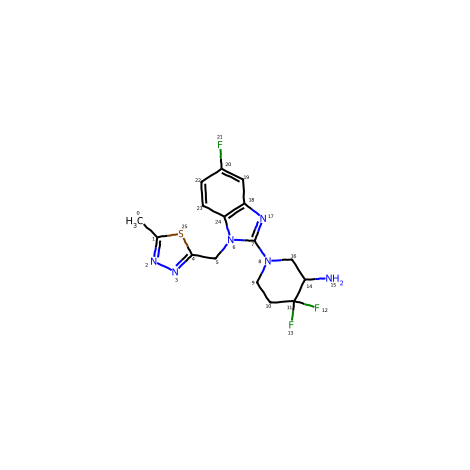 Cc1nnc(Cn2c(N3CCC(F)(F)C(N)C3)nc3cc(F)ccc32)s1